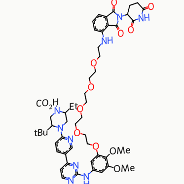 CCC1CN(c2ccc(-c3ccnc(Nc4cc(OC)c(OC)c(OCCOCCOCCOCCOCCNc5cccc6c5C(=O)N(C5CCC(=O)NC5=O)C6=O)c4)n3)cn2)C(C(C)(C)C)CN1C(=O)O